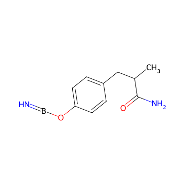 CC(Cc1ccc(OB=N)cc1)C(N)=O